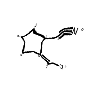 N#CC1CCC/C1=C/Cl